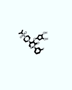 CC(C)S(=O)(=O)N1CCN(c2cnn(-c3cccc(F)c3)c(=O)c2OC2CC(O)C(O)C2)CC1